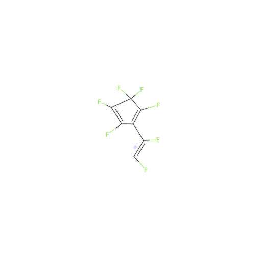 F/C=C(\F)C1=C(F)C(F)(F)C(F)=C1F